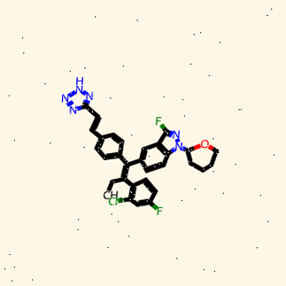 CCC(=C(c1ccc(C=Cc2nn[nH]n2)cc1)c1ccc2c(c1)c(F)nn2C1CCCCO1)c1ccc(F)cc1Cl